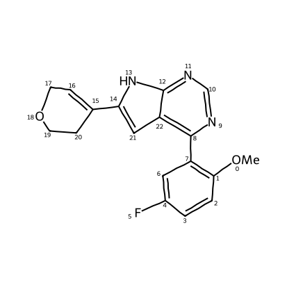 COc1ccc(F)cc1-c1ncnc2[nH]c(C3=CCOCC3)cc12